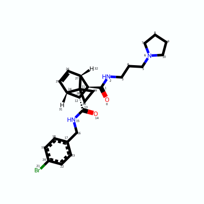 O=C(NCCCN1CCCC1)[C@H]1[C@H](C(=O)NCc2ccc(Br)cc2)[C@@H]2C=C[C@H]1C21CC1